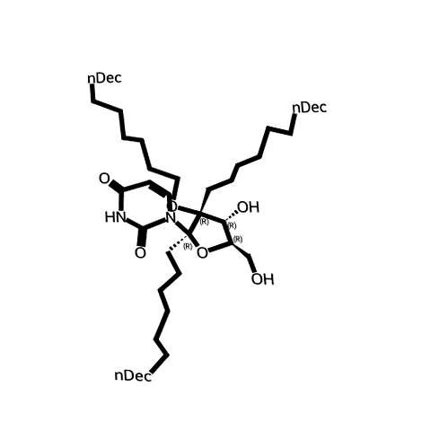 CCCCCCCCCCCCCCCCO[C@]1(CCCCCCCCCCCCCCCC)[C@H](O)[C@@H](CO)O[C@@]1(CCCCCCCCCCCCCCCC)n1ccc(=O)[nH]c1=O